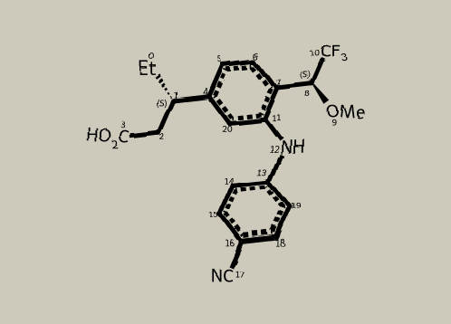 CC[C@@H](CC(=O)O)c1ccc([C@H](OC)C(F)(F)F)c(Nc2ccc(C#N)cc2)c1